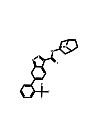 CN1C2CCC1CC(NC(=O)C1=NN=C3CC(c4ccccc4C(F)(F)F)=CC=C31)C2